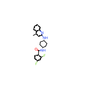 Cc1cc(N[C@H]2CC[C@@H](NC(=O)c3ccc(F)cc3F)CC2)nc2ccccc12